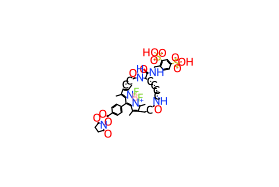 CC1=C2CCC(=O)NCCCCC(C(=O)NCc3ccc(S(=O)(=O)O)cc3S(=O)(=O)O)NC(=O)CCc3c(C)c4n(c3C)[B-](F)(F)[N+](=C2C)C1=C4c1ccc(C(=O)ON2C(=O)CCC2=O)cc1